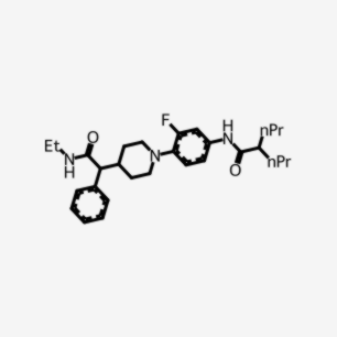 CCCC(CCC)C(=O)Nc1ccc(N2CCC(C(C(=O)NCC)c3ccccc3)CC2)c(F)c1